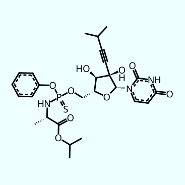 CC(C)C#C[C@@]1(O)[C@H](O)[C@@H](COP(=S)(N[C@@H](C)C(=O)OC(C)C)Oc2ccccc2)O[C@H]1n1ccc(=O)[nH]c1=O